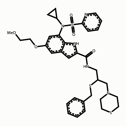 COCCOc1cc(N(C2CC2)S(=O)(=O)c2ccccn2)c2[nH]c(C(=O)NCC(CN3CCSCC3)SCc3ccccc3)cc2c1